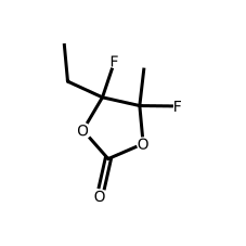 CCC1(F)OC(=O)OC1(C)F